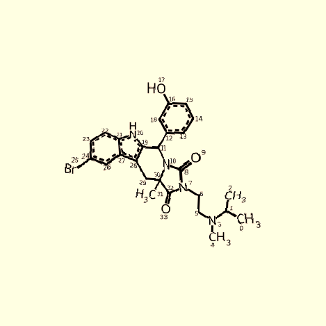 CC(C)N(C)CCN1C(=O)N2C(c3cccc(O)c3)c3[nH]c4ccc(Br)cc4c3CC2(C)C1=O